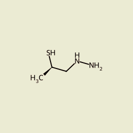 C[C@@H](S)CNN